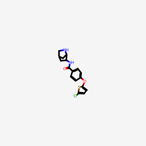 O=C(NC1CC2CNC1C2)c1ccc(Oc2ccc(Cl)s2)cc1